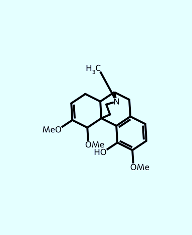 COC1=CCC2C3Cc4ccc(OC)c(O)c4C2(CCN3C)C1OC